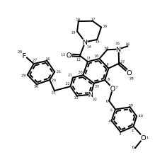 COc1ccc(COc2c3c(c(C(=O)N4CCCCC4)c4cc(Cc5ccc(F)cc5)cnc24)CN(C)C3=O)cc1